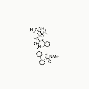 CNC(=O)Nc1ccccc1-c1ccc(CN2Cc3ccccc3S[C@@H](NC(=O)CC(C)(C)N)C2=O)cc1